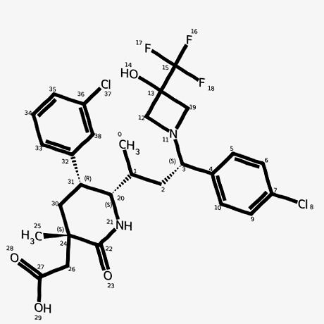 CC(C[C@@H](c1ccc(Cl)cc1)N1CC(O)(C(F)(F)F)C1)[C@@H]1NC(=O)[C@](C)(CC(=O)O)C[C@@H]1c1cccc(Cl)c1